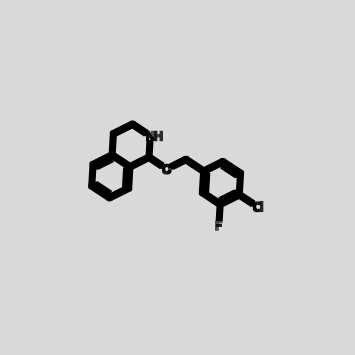 Fc1cc(COC2NCCc3ccccc32)ccc1Cl